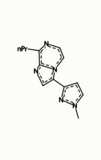 CCCc1nccn2c(-c3ccn(C)n3)cnc12